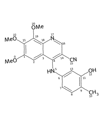 COc1cc2c(Nc3ccc(C)c(O)c3)c(C#N)cnc2c(OC)c1OC